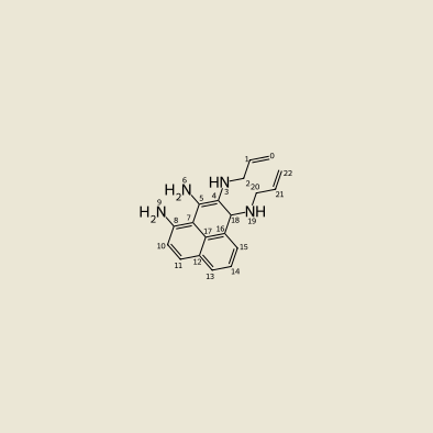 C=CCNC1=C(N)c2c(N)ccc3cccc(c23)C1NCC=C